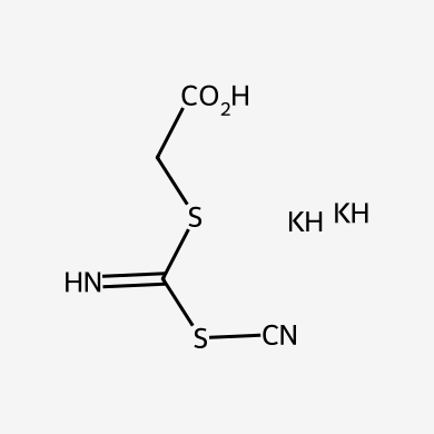 N#CSC(=N)SCC(=O)O.[KH].[KH]